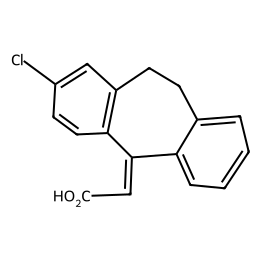 O=C(O)C=C1c2ccccc2CCc2cc(Cl)ccc21